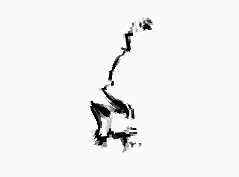 COCCOCCOCC(=O)N1CCCC1C(N)=O